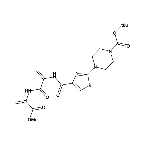 C=C(NC(=O)c1csc(N2CCN(C(=O)OC(C)(C)C)CC2)n1)C(=O)NC(=C)C(=O)OC